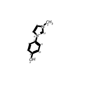 Cn1cc[n+](-c2ccc(O)cc2)c1